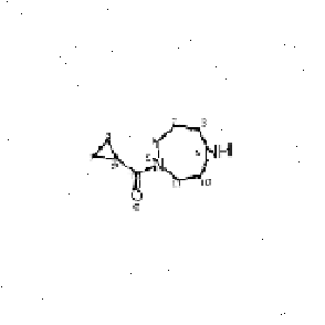 O=C(C1CC1)N1CCCNCC1